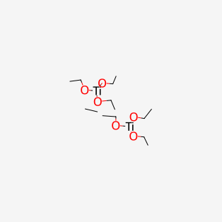 CC.CC[O][Ti]([O]CC)[O]CC.CC[O][Ti]([O]CC)[O]CC